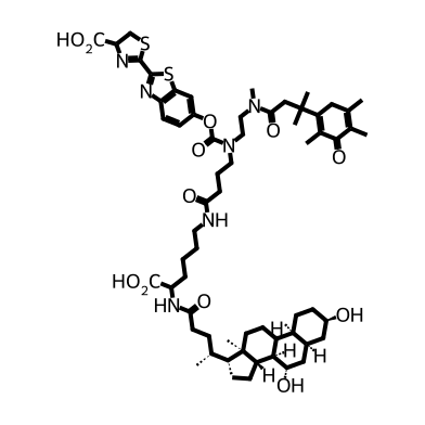 CC1=C(C)C(=O)C(C)=C(C(C)(C)CC(=O)N(C)CCN(CCCC(=O)NCCCCC(NC(=O)CC[C@@H](C)[C@H]2CC[C@H]3[C@@H]4[C@@H](O)C[C@@H]5C[C@H](O)CC[C@]5(C)[C@H]4CC[C@]23C)C(=O)O)C(=O)Oc2ccc3nc(C4=NC(C(=O)O)CS4)sc3c2)C1